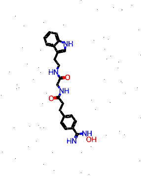 N=C(NO)c1ccc(CCC(=O)NCC(=O)NCCc2c[nH]c3ccccc23)cc1